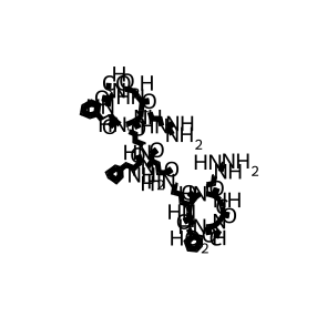 N=C(N)NCCC[C@@H]1NC(=O)C(CCCCNC(=O)CCC(NC(=O)[C@@H](N)Cc2ccccc2)C(=O)NCCCC[C@@H]2NC(=O)[C@@H](Cc3ccccc3)NC(=O)[C@H](CC(=O)O)NC(=O)CNC(=O)[C@H](CCCNC(=N)N)NC2=O)NC(=O)[C@@H](Cc2ccccc2)NC(=O)[C@H](CC(=O)O)NC(=O)CNC1=O